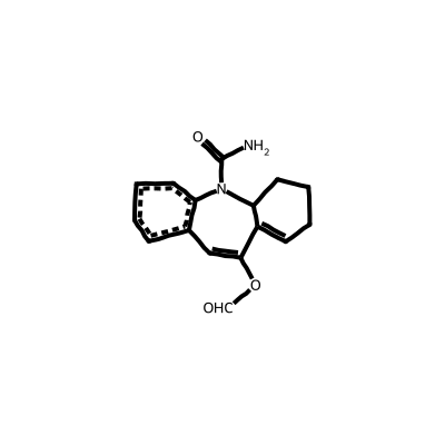 NC(=O)N1c2ccccc2C=C(OC=O)C2=CCCCC21